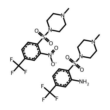 CN1CCN(S(=O)(=O)c2ccc(C(F)(F)F)cc2N)CC1.CN1CCN(S(=O)(=O)c2ccc(C(F)(F)F)cc2[N+](=O)[O-])CC1